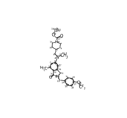 Cc1cc(N(C)CC2CCN(C(=O)OC(C)(C)C)CC2)cc2c1C(=O)N(Cc1ccc(OC(F)(F)F)cc1)C2